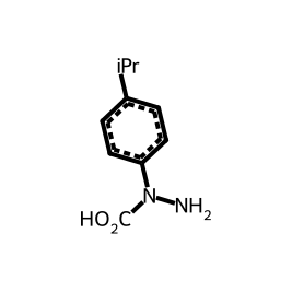 CC(C)c1ccc(N(N)C(=O)O)cc1